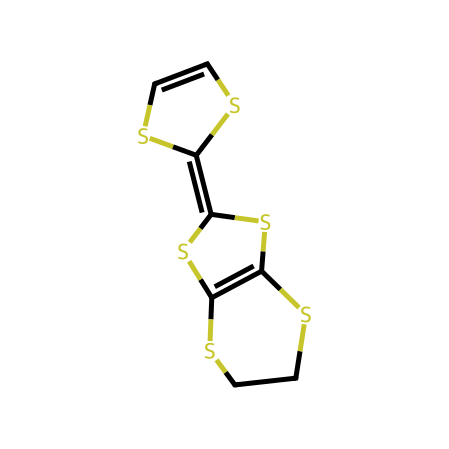 C1=CSC(=C2SC3=C(SCCS3)S2)S1